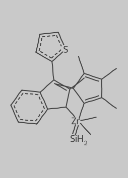 CC1=C(C)C(C)[C]([Zr]([CH3])([CH3])(=[SiH2])[CH]2C(C)=C(c3cccs3)c3ccccc32)=C1C